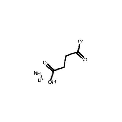 N.O=C([O-])CCC(=O)O.[Li+]